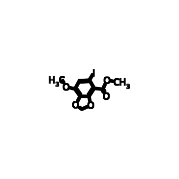 COC(=O)c1c(I)cc(OC)c2c1OCO2